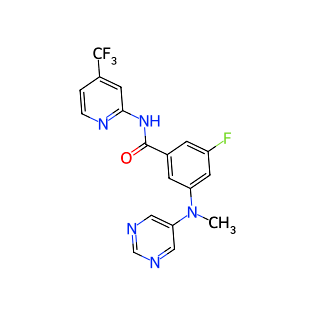 CN(c1cncnc1)c1cc(F)cc(C(=O)Nc2cc(C(F)(F)F)ccn2)c1